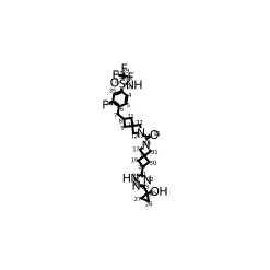 N=S(=O)(c1ccc(CC2CC3(C2)CN(C(=O)N2CC4(CC(c5nc(C6(O)CC6)n[nH]5)C4)C2)C3)c(F)c1)C(F)(F)F